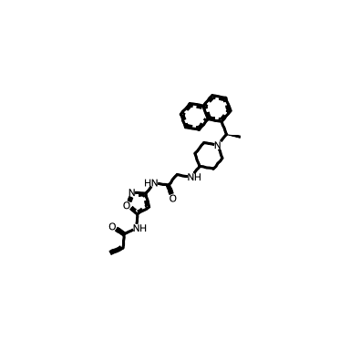 C=CC(=O)Nc1cc(NC(=O)CNC2CCN([C@H](C)c3cccc4ccccc34)CC2)no1